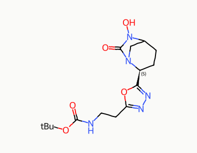 CC(C)(C)OC(=O)NCCc1nnc([C@@H]2CCC3CN2C(=O)N3O)o1